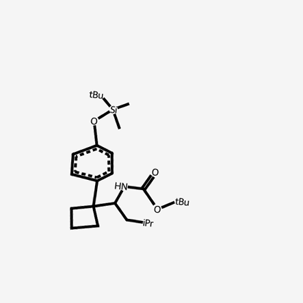 CC(C)CC(NC(=O)OC(C)(C)C)C1(c2ccc(O[Si](C)(C)C(C)(C)C)cc2)CCC1